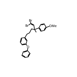 COc1ccc(C(C)(C=C(Br)Br)CCCc2cccc(Oc3ccccc3)c2)cc1